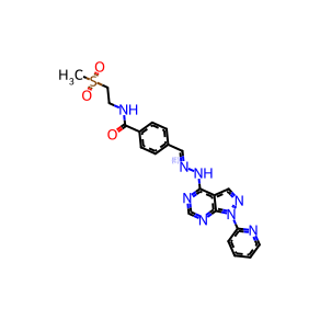 CS(=O)(=O)CCNC(=O)c1ccc(/C=N/Nc2ncnc3c2cnn3-c2ccccn2)cc1